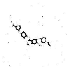 C=CC(=O)N1CCC(Nc2cc3c(Nc4ccc(Oc5ccnc(C(=O)NC)c5)cc4F)ncnc3cc2OC)CC1